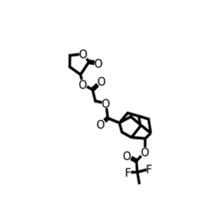 CC(F)(F)C(=O)OC1C2CC3CC1CC(C(=O)OCC(=O)OC1CCOC1=O)(C3)C2